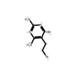 Br.Nc1ncc(CCBr)c(N)n1